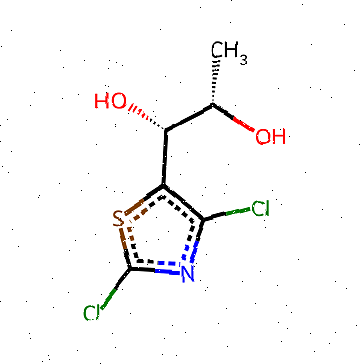 C[C@H](O)[C@@H](O)c1sc(Cl)nc1Cl